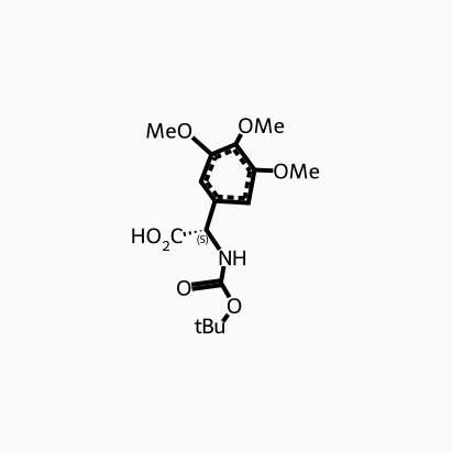 COc1cc([C@H](NC(=O)OC(C)(C)C)C(=O)O)cc(OC)c1OC